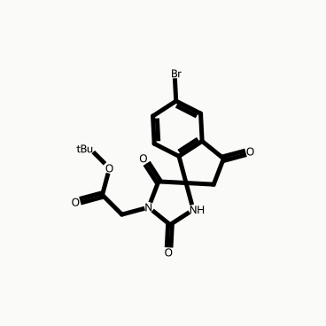 CC(C)(C)OC(=O)CN1C(=O)NC2(CC(=O)c3cc(Br)ccc32)C1=O